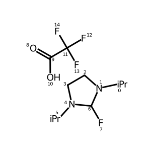 CC(C)N1CCN(C(C)C)C1F.O=C(O)C(F)(F)F